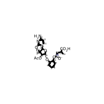 CC(=O)O[C@@H]1[C@@H](COc2ccccc2O/[P+]([O-])=N/C(C)C(=O)O)OC(n2ccc(N)nc2=O)C1(F)F